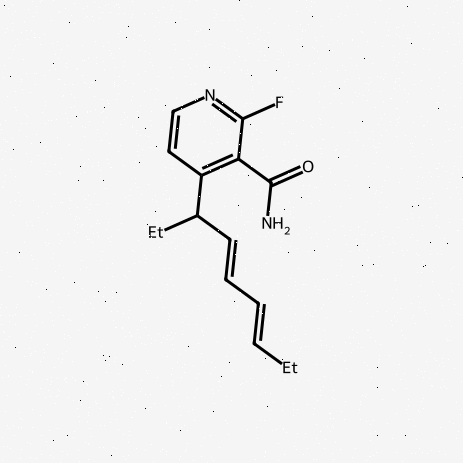 CCC=CC=CC(CC)c1ccnc(F)c1C(N)=O